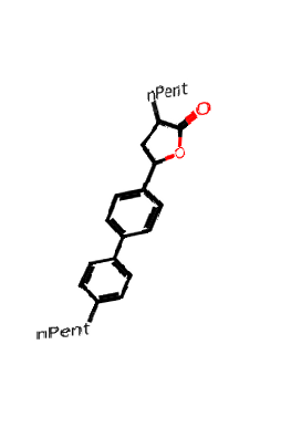 CCCCCc1ccc(-c2ccc(C3CC(CCCCC)C(=O)O3)cc2)cc1